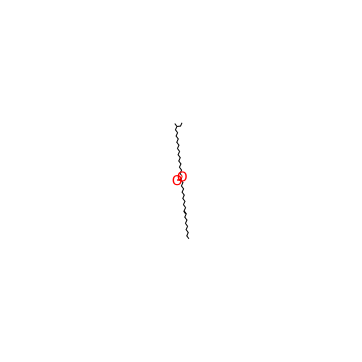 CCCCCCCCC=CCCCCCCCCCC(=O)OCCCCCCCCCCCCCCCC(C)CC